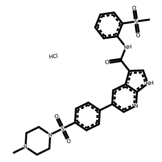 CN1CCN(S(=O)(=O)c2ccc(-c3cnc4[nH]cc(C(=O)Nc5ccccc5S(C)(=O)=O)c4c3)cc2)CC1.Cl